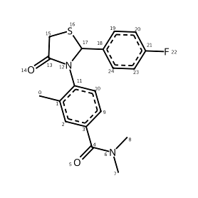 Cc1cc(C(=O)N(C)C)ccc1N1C(=O)CSC1c1ccc(F)cc1